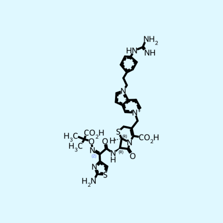 CC(C)(O/N=C(\C(=O)N[C@@H]1C(=O)N2C(C(=O)O)=C(C[n+]3ccc4c(ccn4CCc4ccc(NC(=N)N)cc4)c3)CS[C@H]12)c1csc(N)n1)C(=O)O